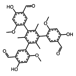 COc1cc(O)c(C=O)cc1-c1c(C)c(-c2cc(C=O)c(O)cc2OC)c(C)c(-c2cc(C=O)c(O)cc2OC)c1C